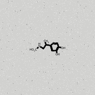 CC(CNC(=O)O)c1ccc(O)c(O)c1